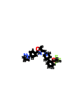 Cc1oc(-c2ccc(-n3cccn3)cc2)nc1CN1CC=C(c2ccccc2OC(F)(F)F)CC1